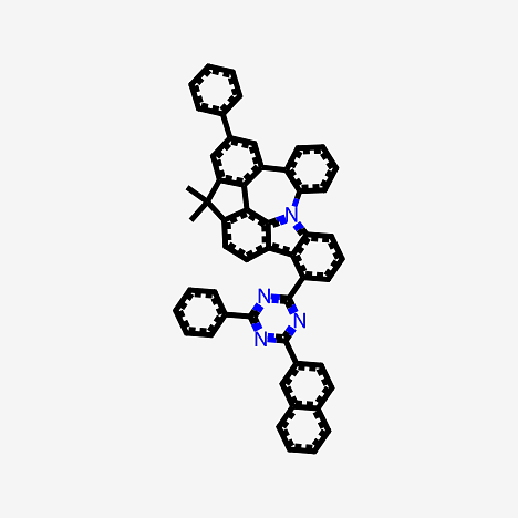 CC1(C)c2cc(-c3ccccc3)cc3c2-c2c1ccc1c4c(-c5nc(-c6ccccc6)nc(-c6ccc7ccccc7c6)n5)cccc4n(c21)-c1ccccc1-3